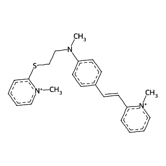 CN(CCSc1cccc[n+]1C)c1ccc(/C=C/c2cccc[n+]2C)cc1